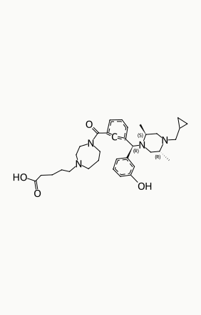 C[C@@H]1CN([C@@H](c2cccc(O)c2)c2cccc(C(=O)N3CCCN(CCCCC(=O)O)CC3)c2)[C@@H](C)CN1CC1CC1